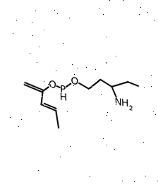 C=C(C=CC)OPOCCC(N)CC